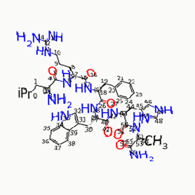 CC(C)C[C@H](N)C(=O)N[C@@H](CCCNC(=N)N)C(=O)N[C@@H](Cc1ccccc1)C(=O)N[C@@H](Cc1c[nH]c2ccccc12)C(=O)N[C@@H](Cc1c[nH]cn1)C(=O)N[C@@H](C)C(N)=O